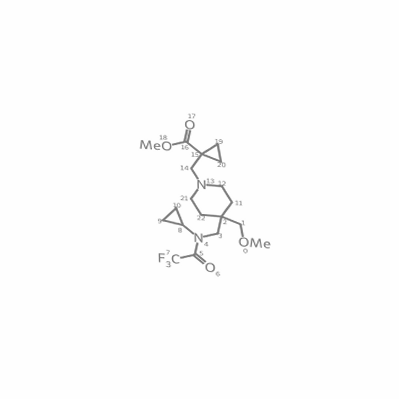 COCC1(CN(C(=O)C(F)(F)F)C2CC2)CCN(CC2(C(=O)OC)CC2)CC1